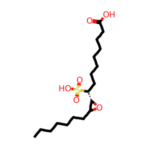 CCCCCCCC1O[C@H]1C(CCCCCCCC(=O)O)S(=O)(=O)O